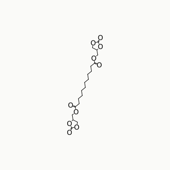 O=C(CCCCCCCCCCC(=O)OCC1COC(=O)O1)OCC1COC(=O)O1